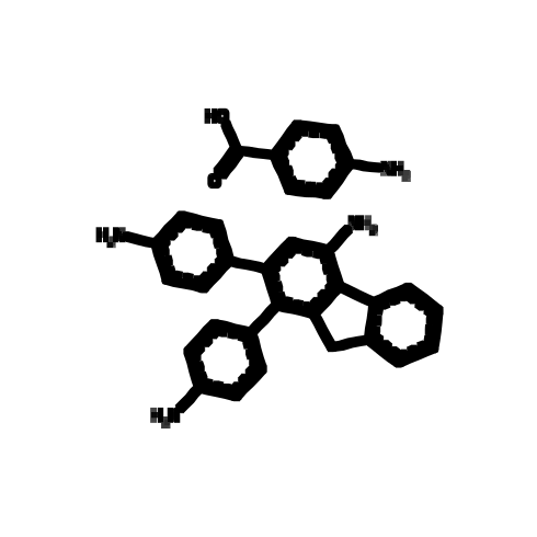 Nc1ccc(-c2cc(N)c3c(c2-c2ccc(N)cc2)Cc2ccccc2-3)cc1.Nc1ccc(C(=O)O)cc1